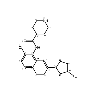 O=C(Nc1c(Cl)cnc2ccc(N3CCC(F)C3)nc12)C1CCNCC1